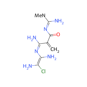 C=C(C(=O)/N=C(\N)NC)/C(N)=N\C(N)=C(/N)Cl